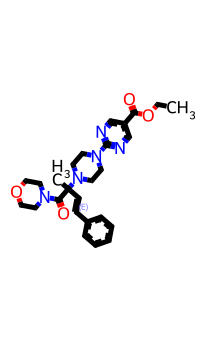 CCOC(=O)c1cnc(N2CCN(C(C)(/C=C/c3ccccc3)C(=O)N3CCOCC3)CC2)nc1